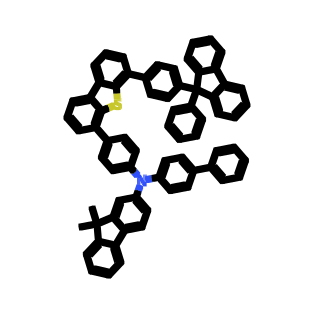 CC1(C)c2ccccc2-c2ccc(N(c3ccc(-c4ccccc4)cc3)c3ccc(-c4cccc5c4sc4c(-c6ccc(C7(c8ccccc8)c8ccccc8-c8ccccc87)cc6)cccc45)cc3)cc21